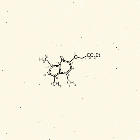 CCOC(=O)COc1cc(C)c2c(C)nn(C)c2n1